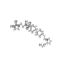 CC1CCCN1CCc1ccc(-c2ccc(S(=O)(=O)NCCN3CCNC3=O)cc2)cc1